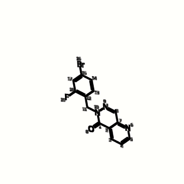 O=c1c2cccnc2[c]nn1Cc1ccc(Br)cc1F